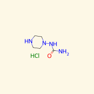 Cl.NC(=O)NN1CCNCC1